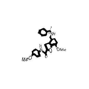 COc1ccc(NC(=O)c2cc3c(CN[C@@H](C)c4ccccc4)ccc(OC)c3o2)cc1